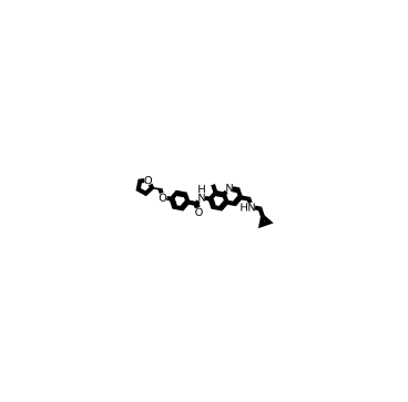 Cc1c(NC(=O)c2ccc(OC[C@H]3CCCO3)cc2)ccc2cc(CNCC3CC3)cnc12